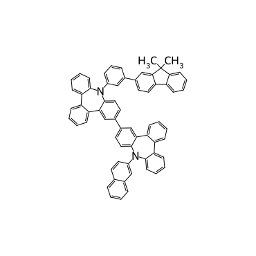 CC1(C)c2ccccc2-c2ccc(-c3cccc(N4c5ccccc5-c5ccccc5-c5cc(-c6ccc7c(c6)-c6ccccc6-c6ccccc6N7c6ccc7ccccc7c6)ccc54)c3)cc21